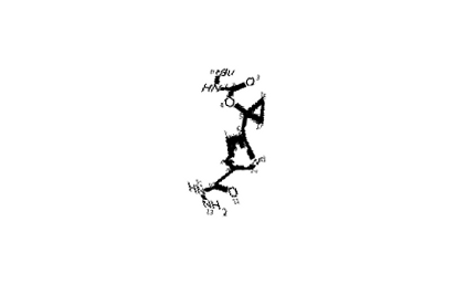 CC(C)(C)NC(=O)OC1(c2ccc(C(=O)NN)cn2)CC1